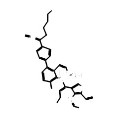 C=C=C(CCCCC)c1ccc(-c2ccc(C)c(N/C(=C/CC)c3csc(C=C)c3/N=C\C)c2/C=C\NN)cc1